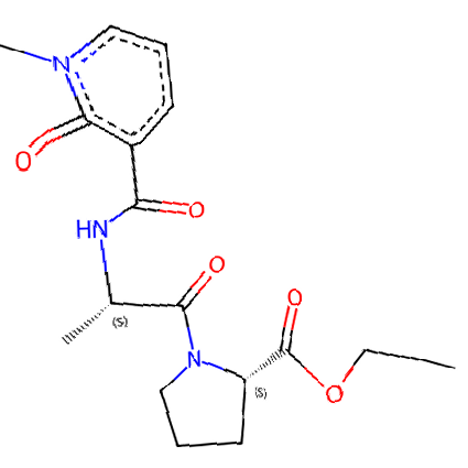 CCOC(=O)[C@@H]1CCCN1C(=O)[C@H](C)NC(=O)c1cccn(C)c1=O